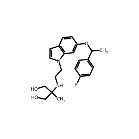 CC(Oc1ccc2ccn(CCNC(C)(CO)CO)c2c1)c1ccc(F)cc1